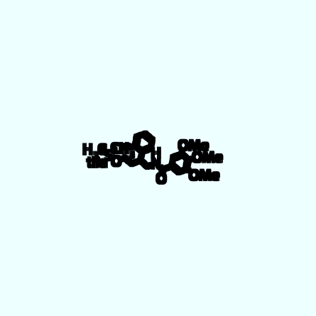 COc1cc(C(=O)NCC(CCO[Si](C)(C)C(C)(C)C)c2ccccc2F)cc(OC)c1OC